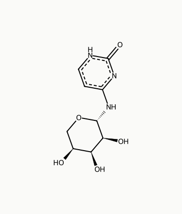 O=c1nc(N[C@H]2OC[C@H](O)[C@H](O)[C@@H]2O)cc[nH]1